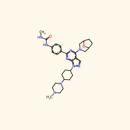 CNC(=O)Nc1ccc(-c2nc(N3CC4CCC(C3)O4)c3cnn(C4CCC(N5CCN(C)CC5)CC4)c3n2)cc1